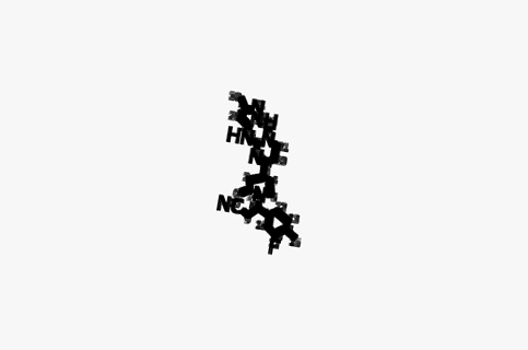 C=C/C=C(\C=C/N(C)C(CC#N)c1ccc(C)c(F)c1)C(/C=C\N=C)=N/CNc1cc(C)n[nH]1